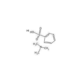 CN(C)C.I.O=S(=O)(O)c1ccccc1